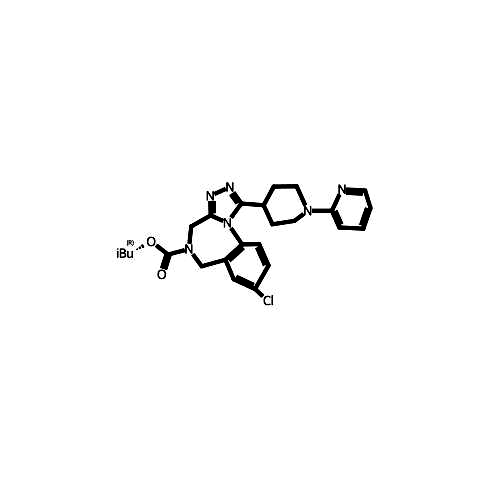 CC[C@@H](C)OC(=O)N1Cc2cc(Cl)ccc2-n2c(nnc2C2CCN(c3ccccn3)CC2)C1